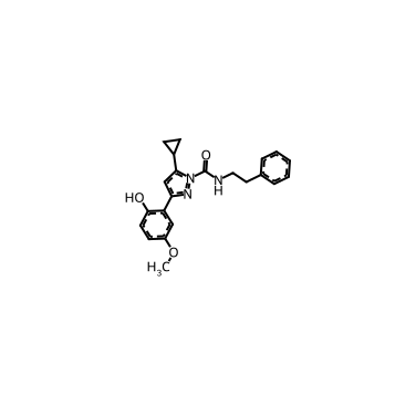 COc1ccc(O)c(-c2cc(C3CC3)n(C(=O)NCCc3ccccc3)n2)c1